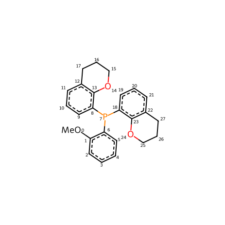 COc1ccccc1P(c1cccc2c1OCCC2)c1cccc2c1OCCC2